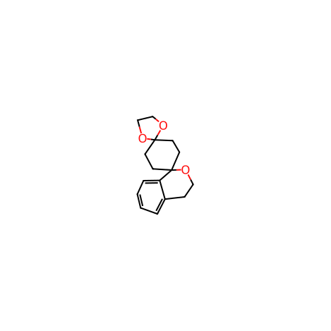 c1ccc2c(c1)CCOC21CCC2(CC1)OCCO2